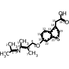 CC(C)=N/C(C)=C(\C)COc1ccc2c(CC(=O)O)csc2c1